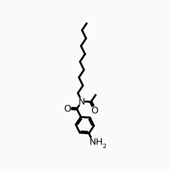 CCCCCCCCCCN(C(C)=O)C(=O)c1ccc(N)cc1